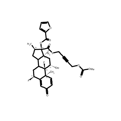 COC(=O)OCC#CCSC(=O)[C@@]1(OC(=O)c2ccco2)[C@H](C)CC2C3C[C@H](F)C4=CC(=O)C=C[C@]4(C)[C@@]3(F)[C@@H](O)C[C@@]21C